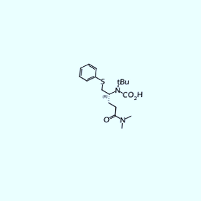 CN(C)C(=O)CC[C@H](CSc1ccccc1)N(C(=O)O)C(C)(C)C